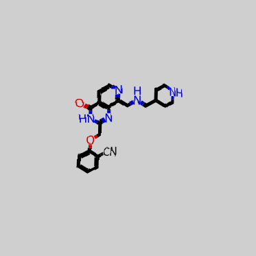 N#Cc1ccccc1OCc1nc2c(CNCC3CCNCC3)nccc2c(=O)[nH]1